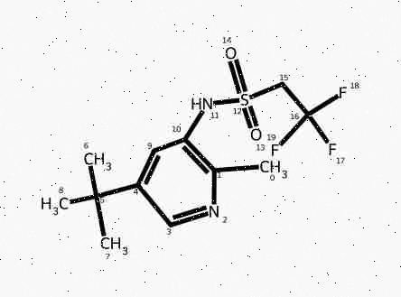 Cc1ncc(C(C)(C)C)cc1NS(=O)(=O)CC(F)(F)F